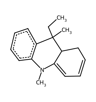 CCC1(C)c2ccccc2N(C)C2=CC=CCC21